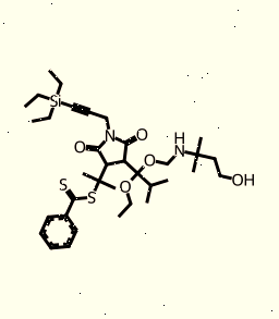 CCOC(OCNC(C)(C)CCO)(C(C)C)C1C(=O)N(CC#C[Si](CC)(CC)CC)C(=O)C1C(C)(C)SC(=S)c1ccccc1